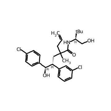 C=CCC(C)(C[C@H](c1cccc(Cl)c1)[C@@H](O)c1ccc(Cl)cc1)C(=O)N[C@H](CO)C(C)(C)C